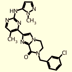 Cc1cnc(Nc2ccnn2C)nc1-c1cn2c(n1)C(=O)N(Cc1cccc(Cl)c1)CC2